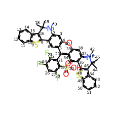 CN1c2cc3c(cc2-c2sc4ccccc4c2C1(C)C)C(c1c(F)c(F)cc(F)c1S(=O)(=O)O)=c1cc2c(cc1O3)=[N+](C)C(C)(C)c1c-2sc2ccccc12